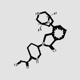 O=CC(=O)C1CCC(N2Cc3c(cccc3N3[C@@H]4CC[C@H]3CNC4)C2=O)CN1